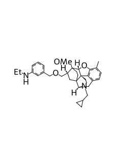 CCNc1cccc(COC[C@H]2CC34CCC2(OC)[C@@H]2Oc5c(C)ccc6c5[C@@]23CCN(CC2CC2)[C@@H]4C6)c1